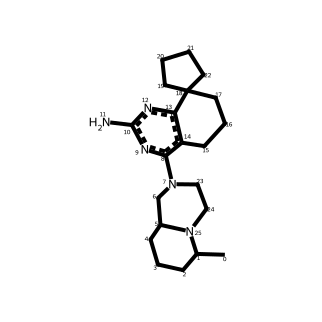 CC1CCCC2CN(c3nc(N)nc4c3CCCC43CCCC3)CCN12